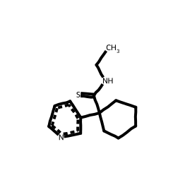 CCNC(=S)C1(c2cccnc2)CCCCC1